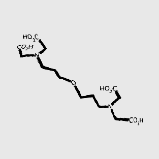 O=C(O)CN(CCCOCCCN(CC(=O)O)CC(=O)O)CC(=O)O